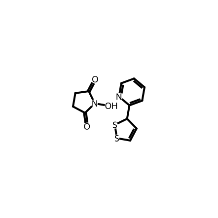 C1=CC(c2ccccn2)SS1.O=C1CCC(=O)N1O